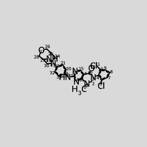 CN1CN(c2c(Cl)cccc2Cl)C(=O)c2cnc(Nc3ccc(N4CC5COCC(C4)N5)cc3)nc21